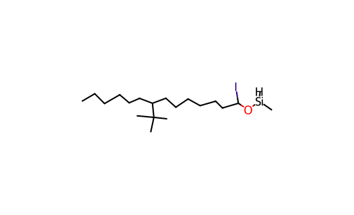 CCCCCCC(CCCCCCC(I)O[SiH](C)C)C(C)(C)C